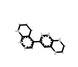 [c]1nnc2c(c1-c1cc3c(nn1)OCCS3)CCCO2